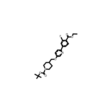 CCOC(=O)c1ccc(-c2ccc(OCC3CCN(C(=O)OC(C)(C)C)CC3)cn2)cc1F